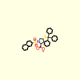 COC(=O)C1C[C@@H](SC(c2ccccc2)(c2ccccc2)c2ccccc2)CN1S(=O)(=O)c1ccc2ccccc2c1